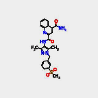 Cc1c(NC(=O)c2cc(C(N)=O)c3ccccc3n2)c(C(F)(F)F)nn1Cc1cccc(S(C)(=O)=O)c1